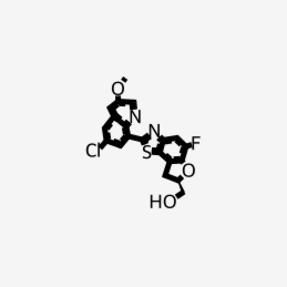 COc1cnc2c(-c3nc4cc(F)c5c(c4s3)C[C@H](CO)O5)cc(Cl)cc2c1